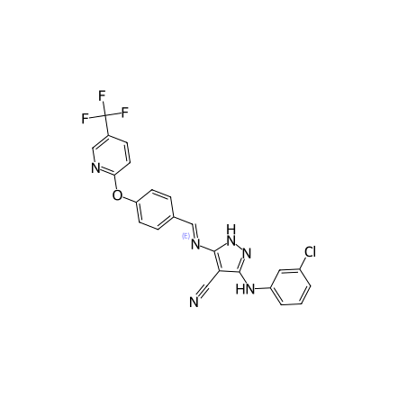 N#Cc1c(Nc2cccc(Cl)c2)n[nH]c1/N=C/c1ccc(Oc2ccc(C(F)(F)F)cn2)cc1